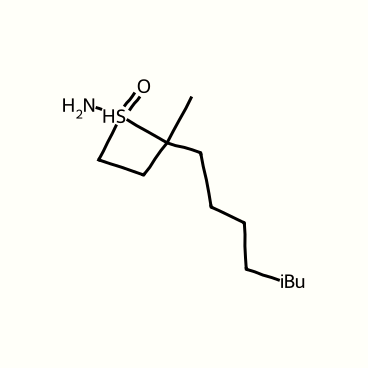 CCC(C)CCCCC1(C)CC[SH]1(N)=O